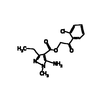 CCc1nn(C)c(N)c1C(=O)OCC(=O)c1ccccc1Cl